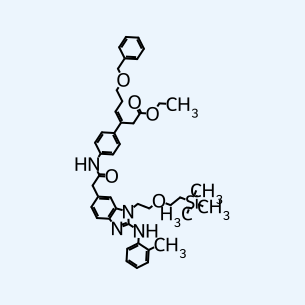 CCOC(=O)CC(=CCCOCc1ccccc1)c1ccc(NC(=O)Cc2ccc3nc(Nc4ccccc4C)n(CCOCC[Si](C)(C)C)c3c2)cc1